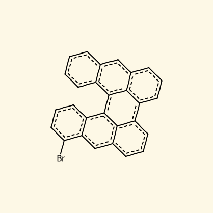 Brc1cccc2c1cc1cccc3c4cccc5cc6ccccc6c(c54)c2c13